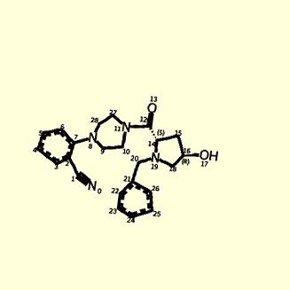 N#Cc1ccccc1N1CCN(C(=O)[C@@H]2C[C@@H](O)CN2Cc2ccccc2)CC1